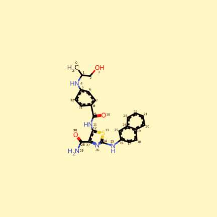 CC(CO)Nc1ccc(C(=O)Nc2sc(Nc3ccc4ccccc4c3)nc2C(N)=O)cc1